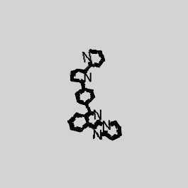 c1ccc(-c2cccc(-c3ccc(-c4nc5c(nc6ccccn65)c5ccccc45)cc3)n2)nc1